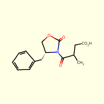 CC(CC(=O)O)C(=O)N1C(=O)OC[C@H]1Cc1ccccc1